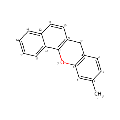 Cc1ccc2c(c1)Oc1c(ccc3ccccc13)C2